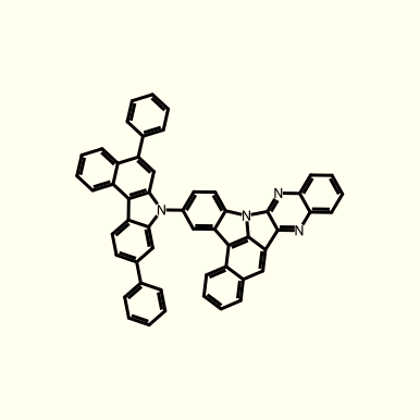 c1ccc(-c2ccc3c4c5ccccc5c(-c5ccccc5)cc4n(-c4ccc5c(c4)c4c6ccccc6cc6c7nc8ccccc8nc7n5c64)c3c2)cc1